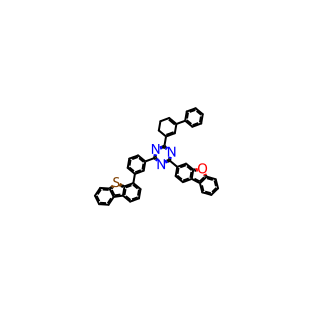 C1=C(c2ccccc2)C=C(c2nc(-c3cccc(-c4cccc5c4sc4ccccc45)c3)nc(-c3ccc4c(c3)oc3ccccc34)n2)CC1